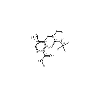 CCN(Cc1cc(C(=O)OC)ccc1N)C(=O)OC(C)(C)C